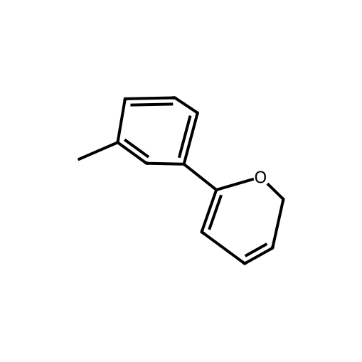 Cc1cccc(C2=CC=CCO2)c1